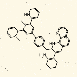 CN1C=CC=CC1C1=CC(c2ccc(CC3Nc4c(ccc5cccnc45)C=C3C3=C(N)CCCC3)cc2)=CC(C2=CC=CCN2)N1C